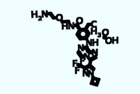 CCc1cc(Nc2nccn3c(-c4cn(C5CCC5)nc4C(F)(F)F)cnc23)ccc1C(=O)NCCOCCN.O=CO